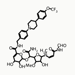 COC1C(O)C(N(C)/C=C\C(=O)NC=O)OC1C(OC1OC(C(=O)NCc2ccc(N3CCC(c4ccc(OC(F)(F)F)cc4)CC3)cc2)=CC(O)C1O)C(N)=O